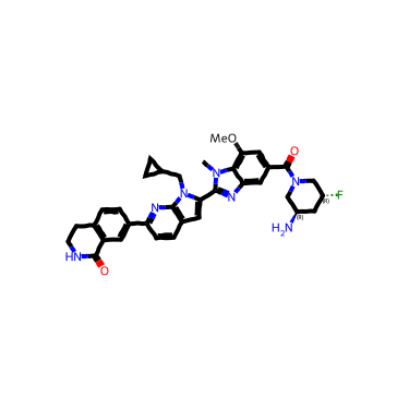 COc1cc(C(=O)N2C[C@H](N)C[C@@H](F)C2)cc2nc(-c3cc4ccc(-c5ccc6c(c5)C(=O)NCC6)nc4n3CC3CC3)n(C)c12